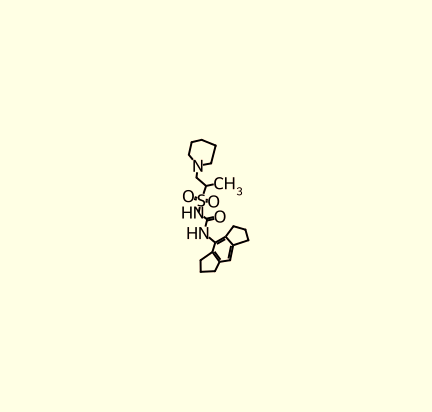 CC(CN1CCCCC1)S(=O)(=O)NC(=O)Nc1c2c(cc3c1CCC3)CCC2